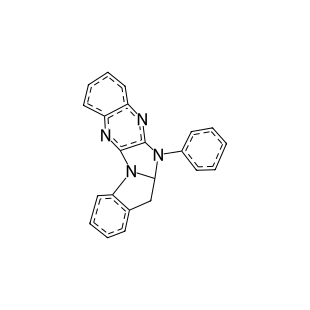 c1ccc(N2c3nc4ccccc4nc3N3c4ccccc4CC23)cc1